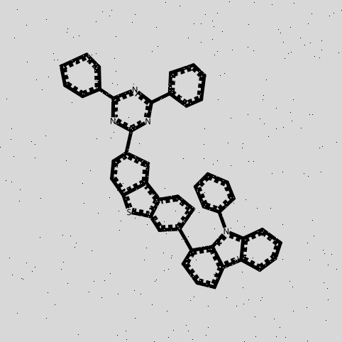 c1ccc(-c2nc(-c3ccccc3)nc(-c3ccc4sc5cc(-c6cccc7c8ccccc8n(-c8ccccc8)c67)ccc5c4c3)n2)cc1